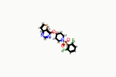 O=S(=O)(c1c(F)cccc1F)N1CCC(Oc2ncnc3ccsc23)CC1